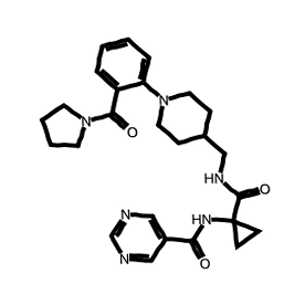 O=C(NC1(C(=O)NCC2CCN(c3ccccc3C(=O)N3CCCC3)CC2)CC1)c1cncnc1